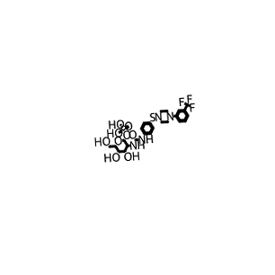 O=C(Nc1ccc(SN2CCN(c3cccc(C(F)(F)F)c3)CC2)cc1)NC1C(OP(=O)(O)O)OC(CO)C(O)C1O